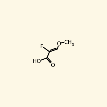 CO/C=C(\F)C(=O)O